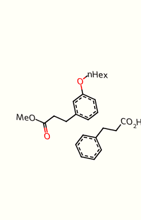 CCCCCCOc1cccc(CCC(=O)OC)c1.O=C(O)CCc1ccccc1